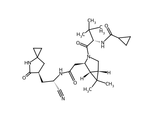 CC(C)(C)[C@H](NC(=O)C1CC1)C(=O)N1C[C@H]2[C@@H]([C@H]1CC(=O)N[C@H](C#N)C[C@@H]1CC3(CC3)NC1=O)C2(C)C